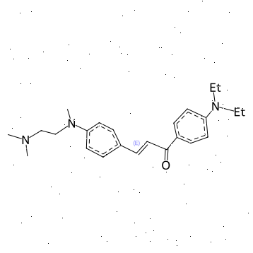 CCN(CC)c1ccc(C(=O)/C=C/c2ccc(N(C)CCN(C)C)cc2)cc1